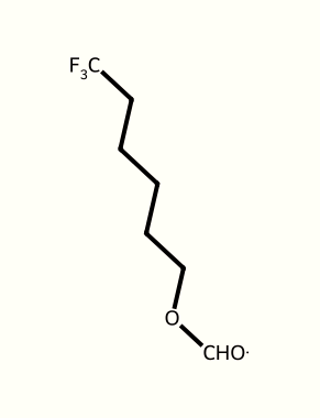 O=[C]OCCCCCC(F)(F)F